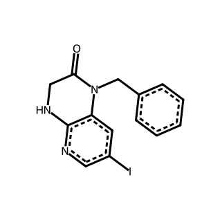 O=C1CNc2ncc(I)cc2N1Cc1ccccc1